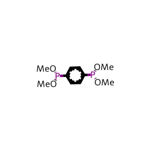 COP(OC)c1ccc(P(OC)OC)cc1